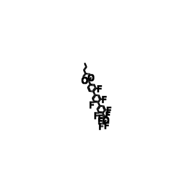 CCCC1COC(c2ccc(-c3cc(F)c(-c4cc(F)c(C(F)(F)OC(F)(F)F)c(F)c4)c(F)c3)c(F)c2)OC1